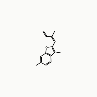 C=C/C(C)=C\c1oc2cc(C)ccc2c1C